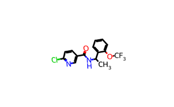 CC(NC(=O)c1ccc(Cl)nc1)c1ccccc1OC(F)(F)F